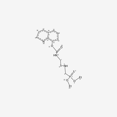 CCOP(=S)(CNSCNC(=O)Oc1cccc2cccnc12)OCC